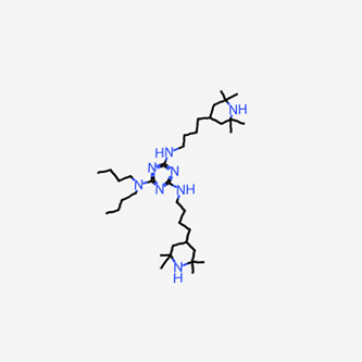 CCCCN(CCCC)c1nc(NCCCCC2CC(C)(C)NC(C)(C)C2)nc(NCCCCC2CC(C)(C)NC(C)(C)C2)n1